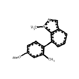 COc1ccc(-c2cccc3cnn(C)c23)c(C)c1